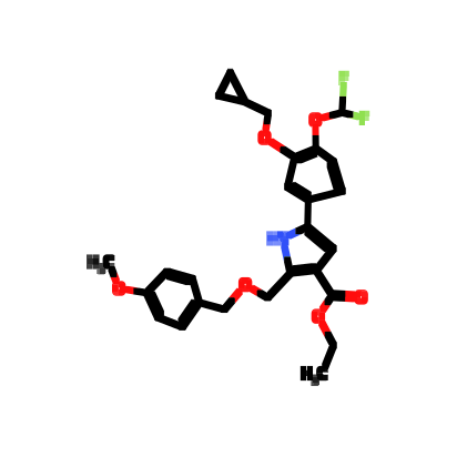 CCOC(=O)c1cc(-c2ccc(OC(F)F)c(OCC3CC3)c2)[nH]c1COCc1ccc(OC)cc1